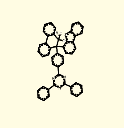 CC1(C)c2ccccc2-c2ccccc2C1(c1ccc(-c2nc(-c3ccccc3)nc(-c3ccccc3)n2)cc1)c1cccc2c1sc1ccccc12